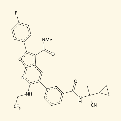 CNC(=O)c1c(-c2ccc(F)cc2)oc2nc(NCC(F)(F)F)c(-c3cccc(C(=O)N[C@](C)(C#N)C4CC4)c3)cc12